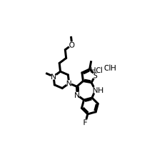 COCCCC1CN(C2=Nc3cc(F)ccc3Nc3sc(C)cc32)CCN1C.Cl.Cl